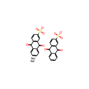 O=C1c2ccccc2C(=O)c2cc(S(=O)(=O)[O-])ccc21.O=C1c2ccccc2C(=O)c2cc(S(=O)(=O)[O-])ccc21.[Na+].[Na+]